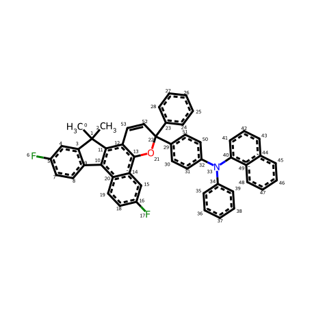 CC1(C)c2cc(F)ccc2-c2c1c1c(c3cc(F)ccc23)OC(c2ccccc2)(c2ccc(N(c3ccccc3)c3cccc4ccccc34)cc2)C=C1